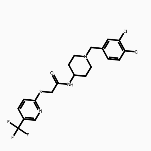 O=C(CSc1ccc(C(F)(F)F)cn1)NC1CCN(Cc2ccc(Cl)c(Cl)c2)CC1